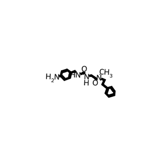 CN(CCc1ccccc1)C(=O)CNC(=O)NCc1ccc(N)cc1